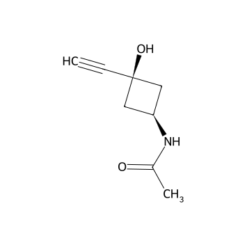 C#C[C@]1(O)C[C@@H](NC(C)=O)C1